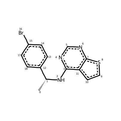 C[C@@H](Nc1ncnc2sccc12)c1ccc(Br)cc1